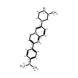 C[C@H]1CN(C2=CN3CC=C(c4ccc(N(C)C)cc4)N=C3C=C2)CCN1